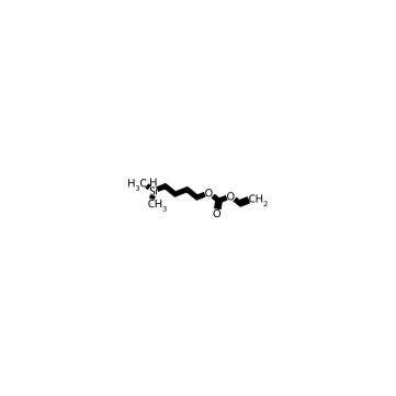 C=COC(=O)OCCCC[SiH](C)C